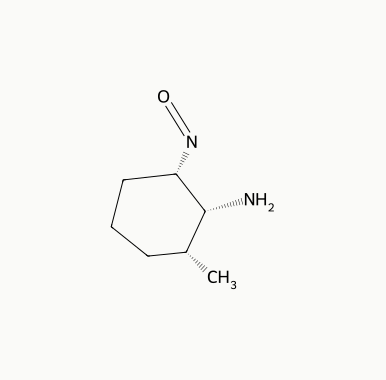 C[C@@H]1CCC[C@H](N=O)[C@@H]1N